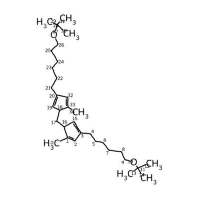 CC1=CC(CCCCCCOC(C)(C)C)=CC1CC1C=C(CCCCCCOC(C)(C)C)C=C1C